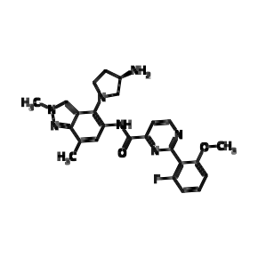 COc1cccc(F)c1-c1nccc(C(=O)Nc2cc(C)c3nn(C)cc3c2N2CC[C@@H](N)C2)n1